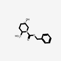 O=C(O)C1CC[C@H](O)CN1C(=O)OCc1ccccc1